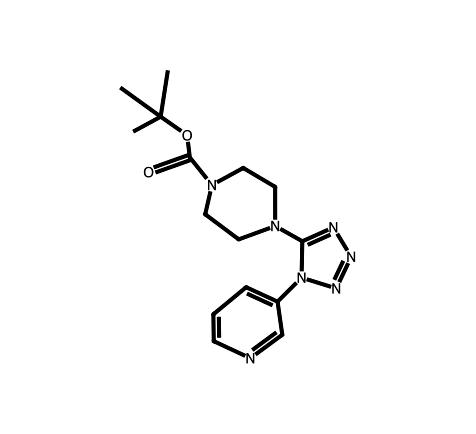 CC(C)(C)OC(=O)N1CCN(c2nnnn2-c2cccnc2)CC1